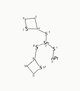 CCC[S][Sn]([S]C1CCS1)[S]C1CCS1